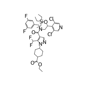 CCOC(=O)C1CCC(n2ncc(C(=O)N(Cc3cc(F)cc(F)c3)CC(O[Si](CC)(CC)CC)c3c(Cl)cncc3Cl)c2C(F)F)CC1